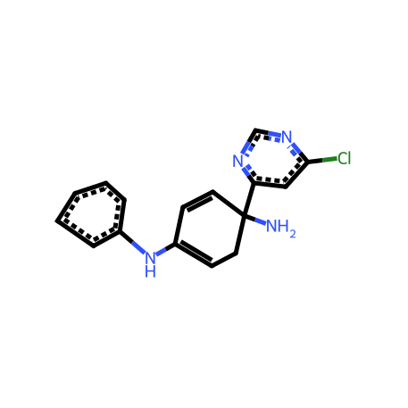 NC1(c2cc(Cl)ncn2)C=CC(Nc2ccccc2)=CC1